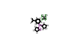 CC(C)c1cccc([PH+](C2CCCC2)C2CCCC2)c1.F[B-](F)(F)F